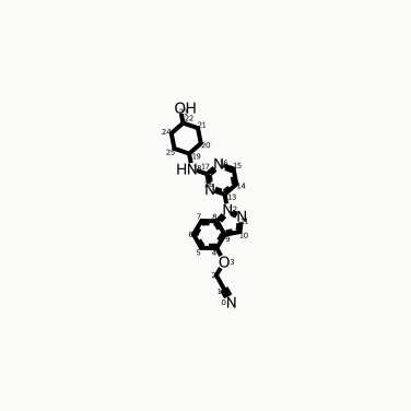 N#CCOc1cccc2c1cnn2-c1ccnc(NC2CCC(O)CC2)n1